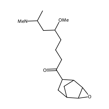 CNC(C)CC(CCCC(=O)C1CC2CC1C1OC21)OC